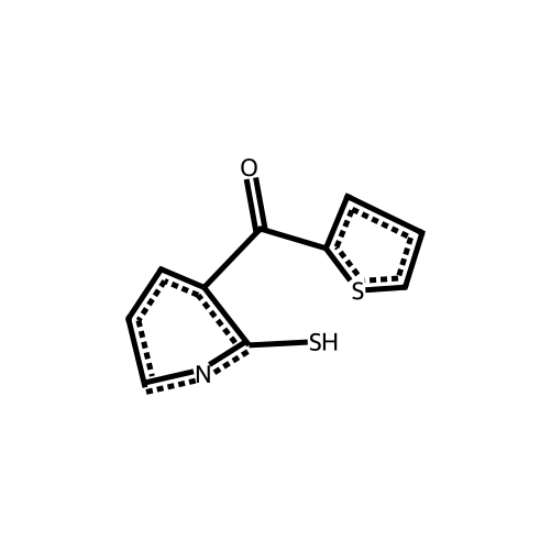 O=C(c1cccs1)c1cccnc1S